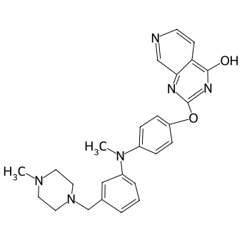 CN1CCN(Cc2cccc(N(C)c3ccc(Oc4nc(O)c5ccncc5n4)cc3)c2)CC1